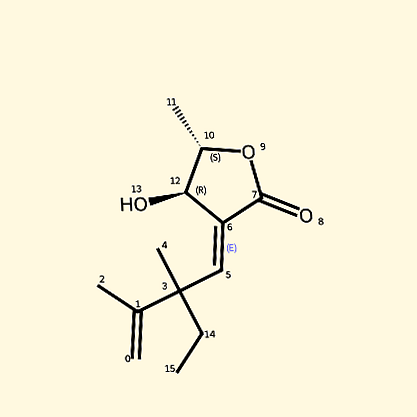 C=C(C)C(C)(/C=C1/C(=O)O[C@@H](C)[C@@H]1O)CC